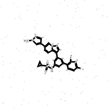 Cn1cc(-c2ccc3c(-c4cc(NS(=O)(=O)C5CC5)cc(-c5ccc(F)nc5F)c4)cnn3c2)cn1